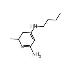 CCCCNC1=CC(N)=NC(C)C1